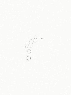 CC(=O)O[C@@H]1C[C@@H]2CC(N[S@+]([O-])C(C)(C)C)(c3ccc(-c4ccccc4)cc3)CC[C@]2(C)[C@H]2CC[C@]3(C)[C@@H]([C@H](C)CCC(=O)O)CC[C@H]3[C@H]12